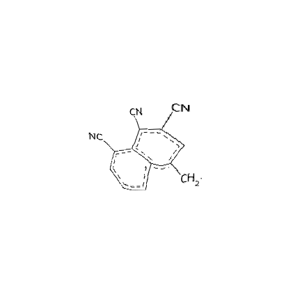 [CH2]c1cc(C#N)c(C#N)c2c(C#N)cccc12